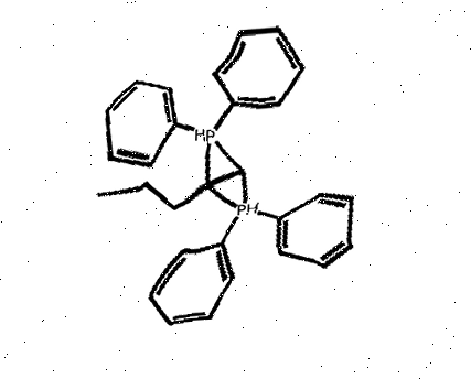 CCCC12C([PH]1(c1ccccc1)c1ccccc1)[PH]2(c1ccccc1)c1ccccc1